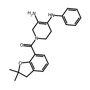 CC1(C)Cc2cccc(C(=O)N3CCC(Nc4ccccc4)=C(N)C3)c2O1